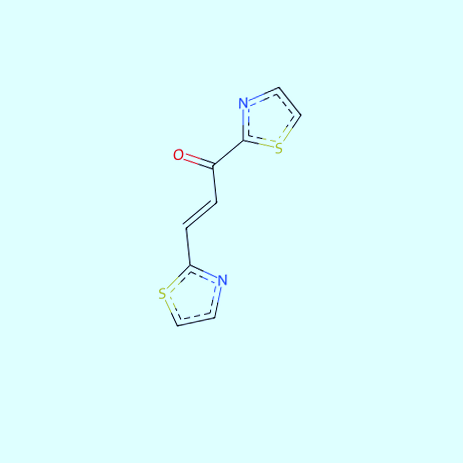 O=C(C=Cc1nccs1)c1nccs1